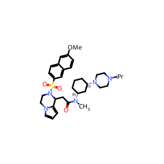 COc1ccc2cc(S(=O)(=O)N3CCn4cccc4C3CC(=O)N(C)[C@@H]3CCC[C@H](N4CCN(C(C)C)CC4)C3)ccc2c1